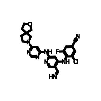 N#Cc1cc(F)c(Nc2cc(Nc3cc(N4CCC5(CCOC5)C4)ncn3)ncc2C=N)c(Cl)c1